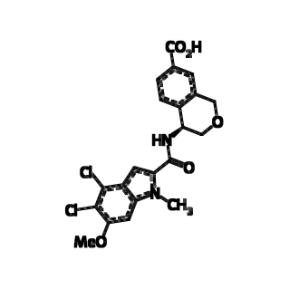 COc1cc2c(cc(C(=O)N[C@@H]3COCc4cc(C(=O)O)ccc43)n2C)c(Cl)c1Cl